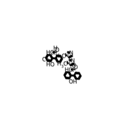 Cn1ccnc1.Cn1ccnc1.O=[PH](O)c1ccccc1-c1ccccc1O.O=[PH](O)c1ccccc1-c1ccccc1O.[Co]